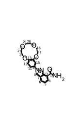 NC(=O)c1cccc2cn(-c3ccc4c(c3)OCCOCCOCCO4)nc12